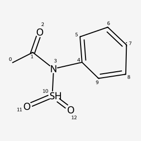 CC(=O)N(c1cc[c]cc1)[SH](=O)=O